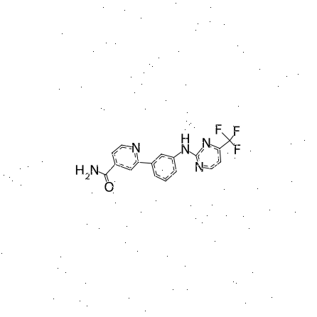 NC(=O)c1ccnc(-c2cccc(Nc3nccc(C(F)(F)F)n3)c2)c1